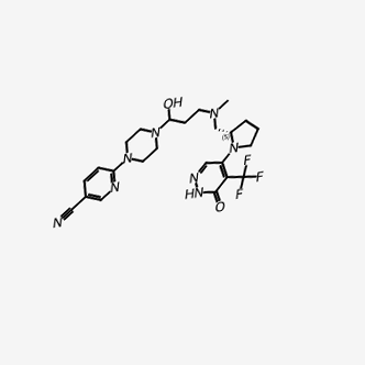 CN(CCC(O)N1CCN(c2ccc(C#N)cn2)CC1)C[C@@H]1CCCN1c1cn[nH]c(=O)c1C(F)(F)F